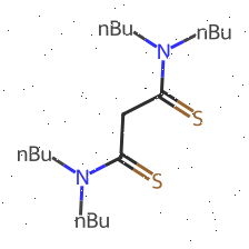 CCCCN(CCCC)C(=S)CC(=S)N(CCCC)CCCC